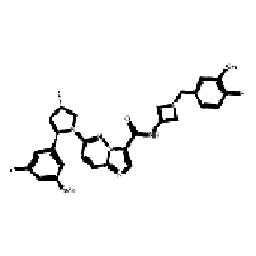 CSc1cc(F)cc([C@H]2C[C@H](F)CN2c2ccc3ncc(C(=O)NC4CN(Cc5ccc(F)c(O)c5)C4)n3n2)c1